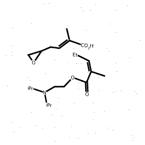 CC(=CCC1CO1)C(=O)O.CCC=C(C)C(=O)OCCN(C(C)C)C(C)C